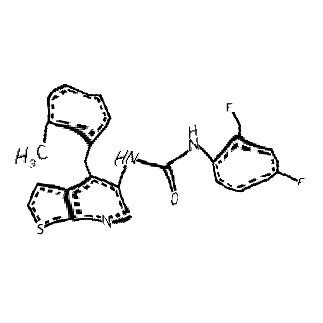 Cc1ccccc1-c1c(NC(=O)Nc2ccc(F)cc2F)cnc2sccc12